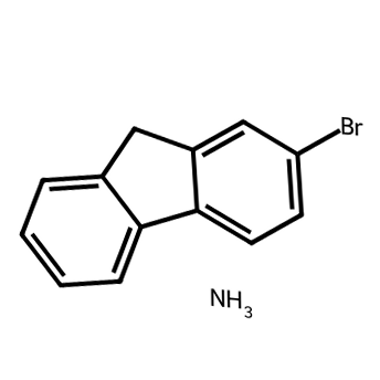 Brc1ccc2c(c1)Cc1ccccc1-2.N